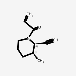 C#C[C@H]1[C@@H](C)CCCN1C(=O)C=C